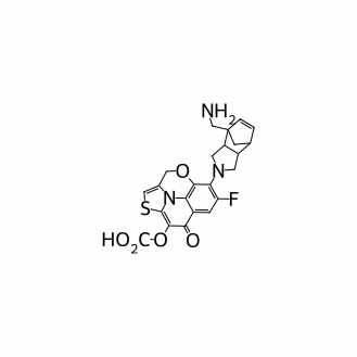 NCC12C=CC(C1)C1CN(c3c(F)cc4c(=O)c(OC(=O)O)c5scc6n5c4c3OC6)CC12